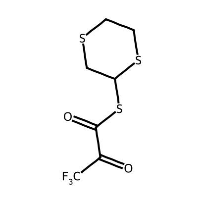 O=C(SC1CSCCS1)C(=O)C(F)(F)F